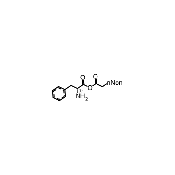 CCCCCCCCCCC(=O)OC(=O)[C@@H](N)Cc1ccccc1